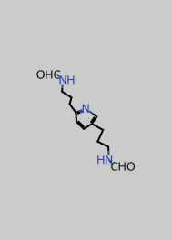 O=CNCCCc1ccc(CCCNC=O)nc1